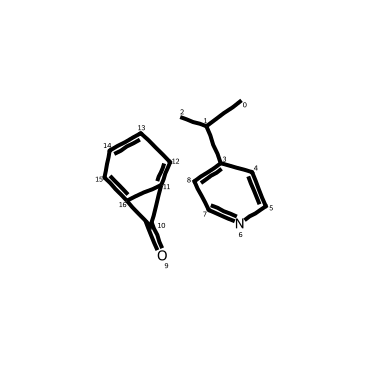 CC(C)c1ccncc1.O=c1c2ccccc12